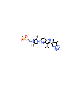 Cc1c(-c2[nH]c3ccc(N4C[C@@H]5C[C@H]4CN5CCCS(C)(=O)=O)nc3c2C(C)C)cn2ncnc2c1C